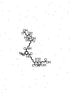 [N-]=[N+]=Nc1cc(C(=O)NCCCCC(NC(=O)NC(CCC(=O)O)C(=O)O)C(=O)O)cc(C(=O)NCCCCC(NC(=O)NC(CCC(=O)O)C(=O)O)C(=O)O)c1